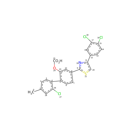 Cc1ccc(-c2ccc(-c3nc(-c4ccc(Cl)c(Cl)c4)cs3)cc2OC(=O)O)c(Cl)c1